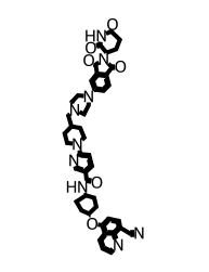 N#Cc1ccc(O[C@H]2CC[C@H](NC(=O)c3ccc(N4CCC(CN5CCN(c6ccc7c(c6)C(=O)N(C6CCC(=O)NC6=O)C7=O)CC5)CC4)nc3)CC2)c2cccnc12